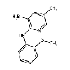 Bc1cc(C)cnc1Nc1ccccc1OC